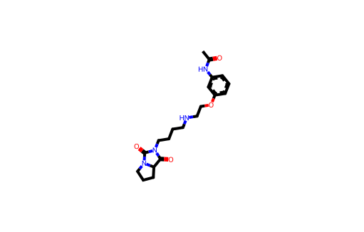 CC(=O)Nc1cccc(OCCNCCCCN2C(=O)C3CCCN3C2=O)c1